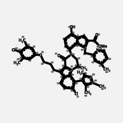 COC(=O)c1cc2c(O)ccc(N3C[C@@H](C)n4c(c(CCCOc5cc(C)c(Cl)c(C)c5)c5ccc(Cl)c(-c6c(C)nn(C)c6C)c54)C3=O)c2n1Cc1cc(C)ccn1